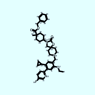 CCOc1cc(-c2ccc(F)cn2)c(C2CC2)cc1CN1CCC2(CC1)CN(C1CCC(C)(C(=O)OCc3ccccc3)CC1)C(=O)O2